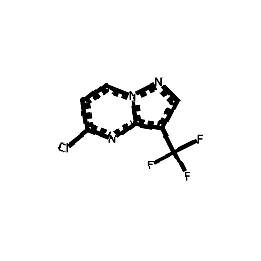 FC(F)(F)c1cnn2ccc(Cl)nc12